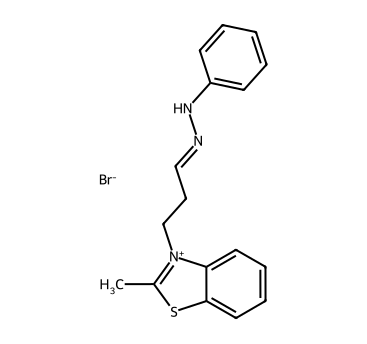 Cc1sc2ccccc2[n+]1CCC=NNc1ccccc1.[Br-]